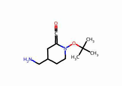 CC(C)(C)ON1CCC(CN)CC1=C=O